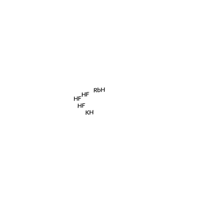 F.F.F.[KH].[RbH]